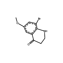 COc1cc(Br)c2c(c1)C(=O)CCN2